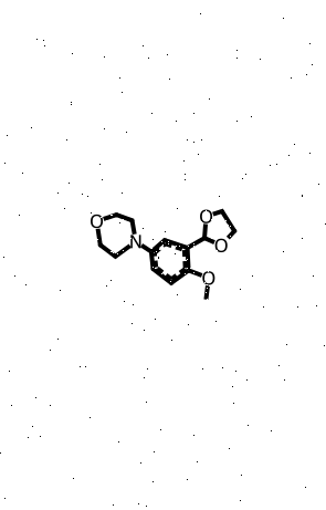 COc1ccc(N2CCOCC2)cc1C1OCCO1